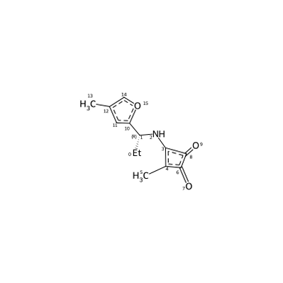 CC[C@@H](Nc1c(C)c(=O)c1=O)c1cc(C)co1